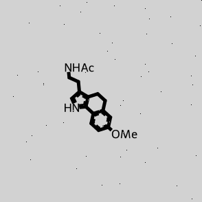 COc1ccc2c(c1)CCc1c(CCNC(C)=O)c[nH]c1-2